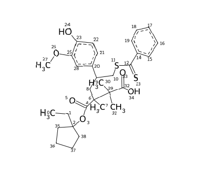 CCC1(OC(=O)C(C)(CC(CSC(=S)c2ccccc2)c2ccc(O)c(OC)c2)C(C)(C)C(=O)O)CCCC1